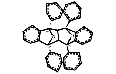 c1ccc([C@@]23O[C@@](c4ccccc4)(c4ccccc42)C2C3[C@]3(c4ccccc4)O[C@@]2(c2ccccc2)c2ccccc23)cc1